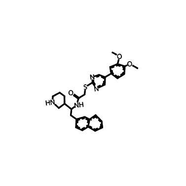 COc1ccc(-c2cnc(SCC(=O)NC(Cc3ccc4ccccc4c3)C3CCCNC3)nc2)cc1OC